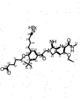 Br.CCOc1cc2c(nc1C(=O)NC)C(=N)N(CC(=O)c1cc(CCCC#N)c(OCCCCC(=O)O)c(C(C)(C)C)c1)C2